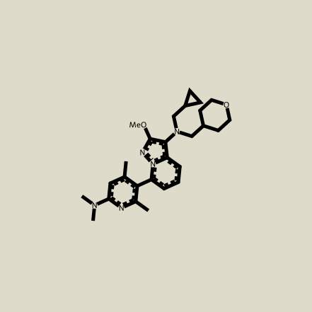 COc1nn2c(-c3c(C)cc(N(C)C)nc3C)cccc2c1N(CC1CCOCC1)CC1CC1